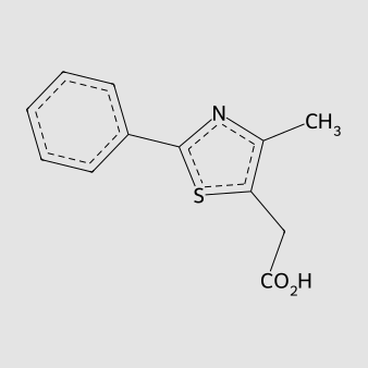 Cc1nc(-c2ccccc2)sc1CC(=O)O